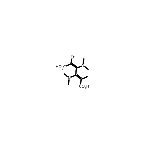 CCC(C(=O)O)=C(C(=C(C)C(=O)O)N(C)C)N(C)C